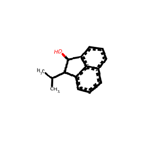 CC(C)C1c2cccc3cccc(c23)C1O